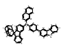 c1ccc2c(c1)-c1cc(N(c3ccc(-c4ccc5oc6ccccc6c5c4)cc3)c3ccc4ccccc4c3)ccc1C21C2CC3CC(C2)CC1C3